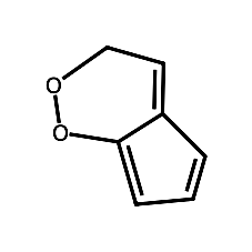 C1=CC2=CCOOC2=C1